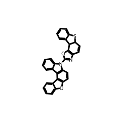 C1=CC2Sc3ccccc3C2c2oc(-n3c4ccccc4c4c5c(ccc43)oc3ccccc35)nc21